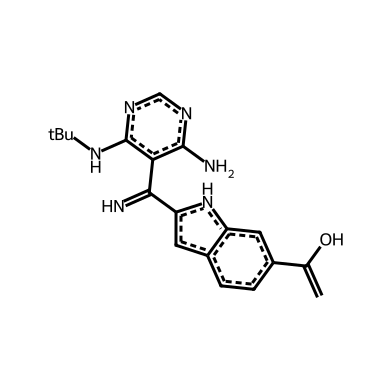 C=C(O)c1ccc2cc(C(=N)c3c(N)ncnc3NC(C)(C)C)[nH]c2c1